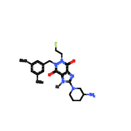 CCn1c(N2CCCC(N)C2)nc2c(=O)n(CCF)n(Cc3cc(OC)cc(OC)c3)c(=O)c21